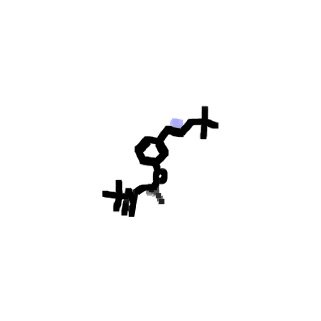 C[C@H](CNC(C)(C)C)Oc1cccc(/C=C/CC(C)(C)C)c1